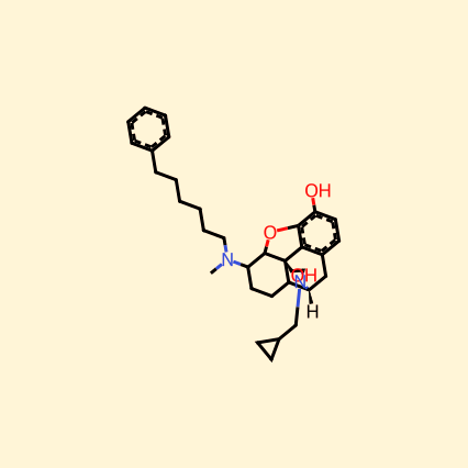 CN(CCCCCCc1ccccc1)C1CC[C@@]2(O)[C@H]3Cc4ccc(O)c5c4[C@@]2(CCN3CC2CC2)C1O5